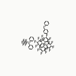 F[P-](F)(F)(F)(F)F.Fc1c(F)c(F)c([B-](c2c(F)c(F)c(F)c(F)c2F)(c2c(F)c(F)c(F)c(F)c2F)c2c(F)c(F)c(F)c(F)c2F)c(F)c1F.c1ccc([I+]c2ccccc2)cc1.c1ccc([I+]c2ccccc2)cc1